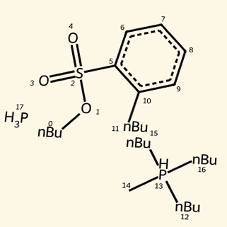 CCCCOS(=O)(=O)c1ccccc1CCCC.CCCC[PH](C)(CCCC)CCCC.P